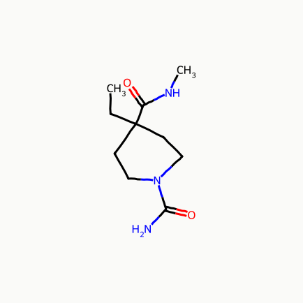 CCC1(C(=O)NC)CCN(C(N)=O)CC1